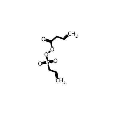 C=CCC(=O)OOS(=O)(=O)CC=C